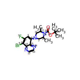 CC1CN(c2cc(F)c(Br)c3nccnc23)CC(C)N1C(=O)OC(C)(C)C